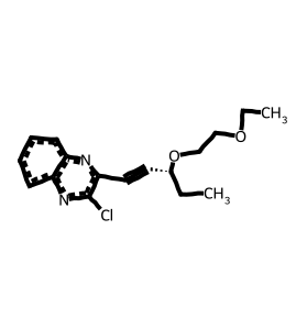 CCOCCO[C@@H](C#Cc1nc2ccccc2nc1Cl)CC